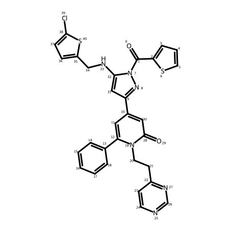 O=C(c1cccs1)n1nc(-c2cc(-c3ccccc3)n(CCc3ccncn3)c(=O)c2)cc1NCc1ccc(Cl)s1